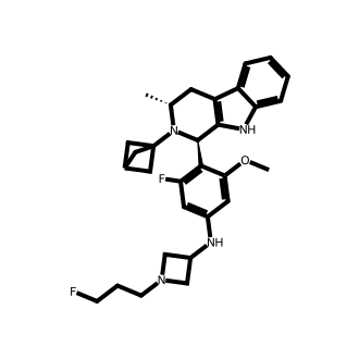 COc1cc(NC2CN(CCCF)C2)cc(F)c1[C@@H]1c2[nH]c3ccccc3c2C[C@@H](C)N1C12CC(C1)C2